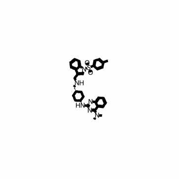 Cc1ccc(S(=O)(=O)n2cc(CNC[C@H]3CC[C@@H](Nc4nc(N(C)C)c5ccccc5n4)CC3)c3ccccc32)cc1